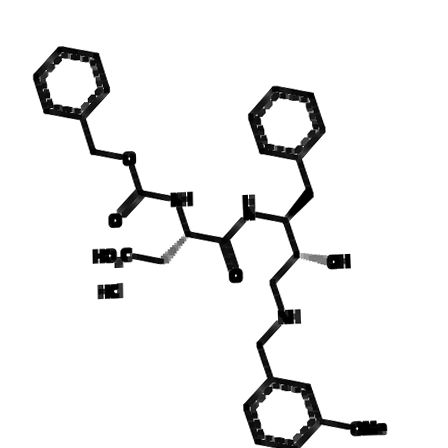 COc1cccc(CNC[C@@H](O)[C@H](Cc2ccccc2)NC(=O)[C@H](CC(=O)O)NC(=O)OCc2ccccc2)c1.Cl